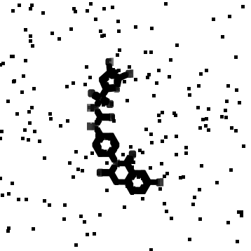 O=C(Nc1ccc(N2C(=O)Cc3ccc(Cl)cc3C2=O)cc1)NS(=O)(=O)c1cc(Cl)c(Cl)s1